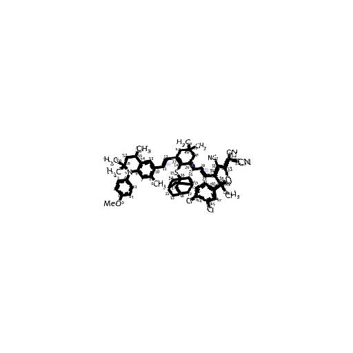 COc1ccc(N2c3cc(C)c(/C=C/C4=C(SC56CC7CC(CC(C7)C5)C6)C(=C/C=C/C5=C(C#N)C(=C(C#N)C#N)OC5(C)c5ccc(Cl)c(Cl)c5)/CC(C)(C)C4)cc3C(C)CC2(C)C)cc1